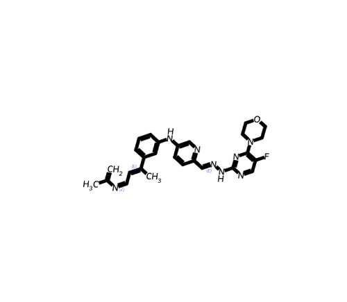 C=C(C)/N=C\C=C(/C)c1cccc(Nc2ccc(/C=N/Nc3ncc(F)c(N4CCOCC4)n3)nc2)c1